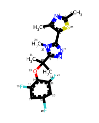 Cc1nc(C)c(-c2nnc(C(C)(C)Oc3c(F)cc(F)cc3F)n2C)s1